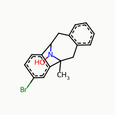 CC12Cc3ccccc3CC(c3ccc(Br)cc31)N2O